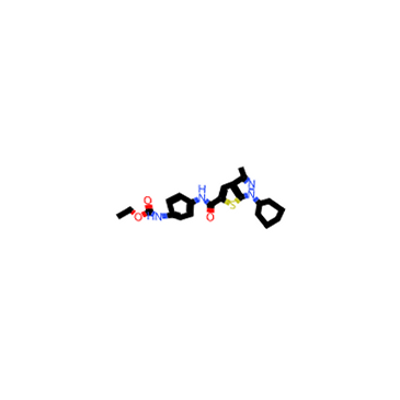 CCOC(=O)Nc1ccc(NC(=O)c2cc3c(C)nn(C4CCCCC4)c3s2)cc1